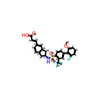 COc1cccc(F)c1-c1ccc(S(=O)(=O)NC2Cc3ccc(/C=C/C(=O)O)cc3C2)c(C(F)(F)F)c1